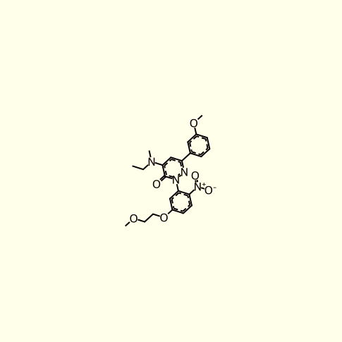 CCN(C)c1cc(-c2cccc(OC)c2)nn(-c2cc(OCCOC)ccc2[N+](=O)[O-])c1=O